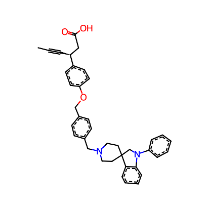 CC#C[C@@H](CC(=O)O)c1ccc(OCc2ccc(CN3CCC4(CC3)CN(c3ccccc3)c3ccccc34)cc2)cc1